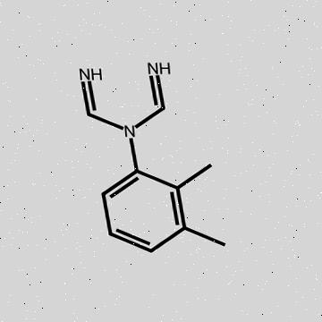 Cc1cccc(N(C=N)C=N)c1C